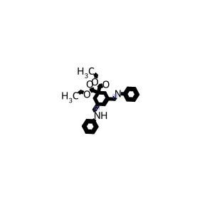 CCOC(=O)C1(C(=O)OCC)CC(/C=N/c2ccccc2)=CC(=C\Nc2ccccc2)/C1